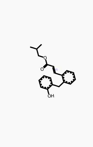 CC(C)COC(=O)/C=C/c1ccccc1Cc1ccccc1O